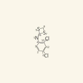 Clc1ccc(N=C2SCS2)c(Cl)c1